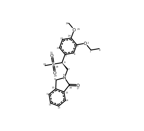 CCOc1cc([C@@H](CN2Cc3ccccc3C2=O)S(C)(=O)=O)ccc1OC